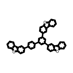 c1ccc2c(c1)oc1ccc(-c3ccc(-c4cc(-c5ccc6oc7ccccc7c6c5)cc(-c5ccc6oc7ccccc7c6c5)c4)cc3)cc12